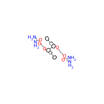 NCC(N)C(=O)OCCCCCOc1cc2c(c(-c3cc(OCCCOC(=O)C(N)CN)cc4c3C=C(c3ccccc3)C4)c1)CC(c1ccccc1)=C2